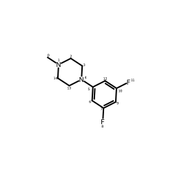 CN1CCN(c2cc(F)cc(F)c2)CC1